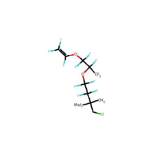 COC(C)(CCl)C(F)(F)C(F)(F)OC(F)(C(F)(F)F)C(F)(F)OC(F)=C(F)F